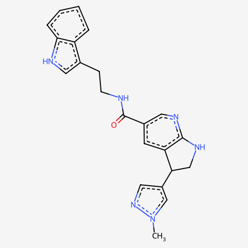 Cn1cc(C2CNc3ncc(C(=O)NCCc4c[nH]c5ccccc45)cc32)cn1